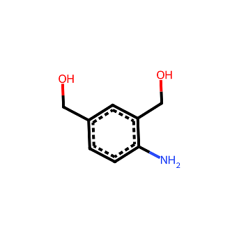 Nc1ccc(CO)cc1CO